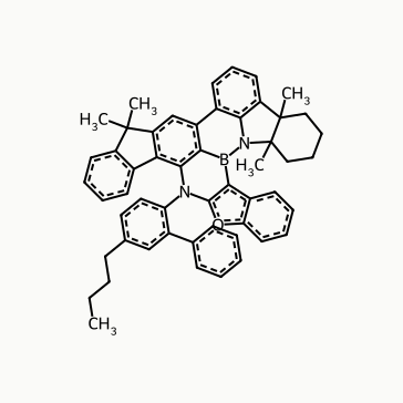 CCCCc1ccc(N2c3oc4ccccc4c3B3c4c(cc5c(c42)-c2ccccc2C5(C)C)-c2cccc4c2N3C2(C)CCCCC42C)c(-c2ccccc2)c1